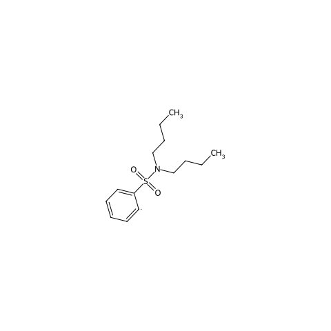 CCCCN(CCCC)S(=O)(=O)c1[c]cccc1